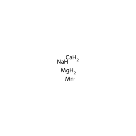 [CaH2].[MgH2].[Mn].[NaH]